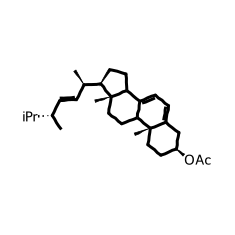 CC(=O)O[C@H]1CC[C@@]2(C)C(=CC=C3C2CC[C@@]2(C)C3CC[C@@H]2[C@H](C)/C=C/[C@H](C)C(C)C)C1